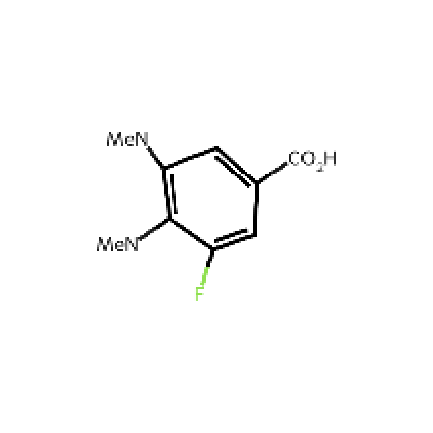 CNc1cc(C(=O)O)cc(F)c1NC